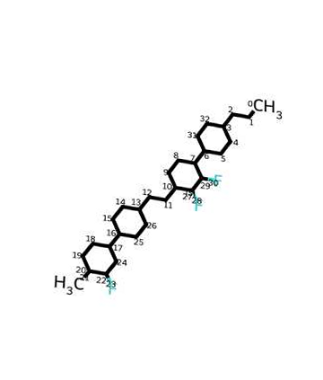 CCCC1CCC(C2CCC(CCC3CCC(C4CCC(C)C(F)C4)CC3)[C@H](F)C2F)CC1